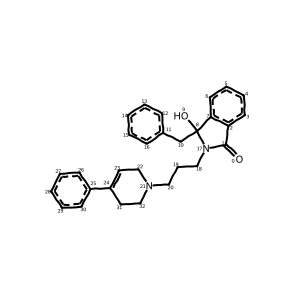 O=C1c2ccccc2C(O)(Cc2ccccc2)N1CCCN1CC=C(c2ccccc2)CC1